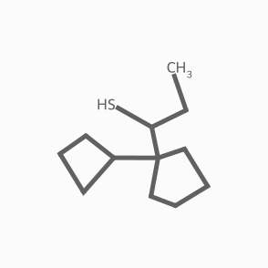 CCC(S)C1(C2CCC2)CCCC1